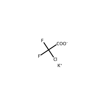 O=C([O-])C(F)(F)Cl.[K+]